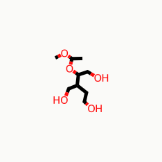 COC(C)OC(CO)C(CO)CCO